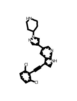 Clc1cccc(Cl)c1C#Cc1c[nH]c2ncc(-c3cnn(C4CCNCC4)c3)cc12